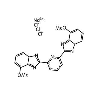 COC1=CC=CC2N=C(c3cccc(C4=NC5C=CC=C(OC)C5=N4)n3)N=C12.[Cl-].[Cl-].[Cl-].[Nd+3]